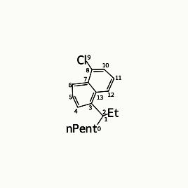 [CH2]CCCCC(CC)c1cccc2c(Cl)cccc12